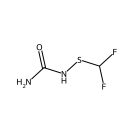 NC(=O)NSC(F)F